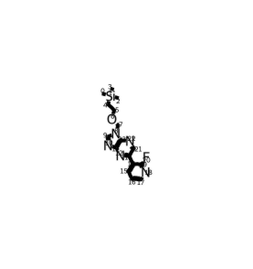 C[Si](C)(C)CCOCn1cnc2nc(-c3cccnc3F)cnc21